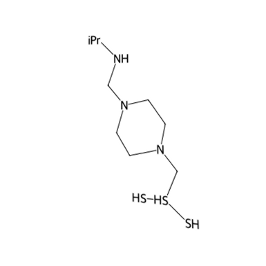 CC(C)NCN1CCN(C[SH](S)S)CC1